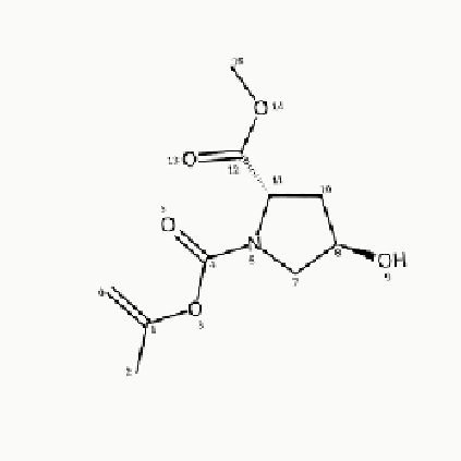 C=C(C)OC(=O)N1C[C@H](O)C[C@H]1C(=O)OC